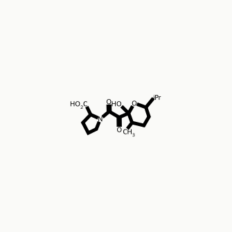 CC(C)C1CCC(C)C(O)(C(=O)C(=O)N2CCCC2C(=O)O)O1